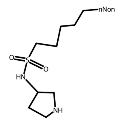 CCCCCCCCCCCCCCS(=O)(=O)NC1CCNC1